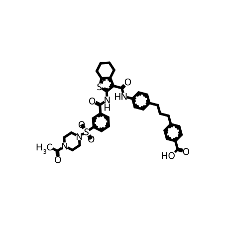 CC(=O)N1CCN(S(=O)(=O)c2cccc(C(=O)Nc3sc4c(c3C(=O)Nc3ccc(CCCc5ccc(C(=O)O)cc5)cc3)CCCC4)c2)CC1